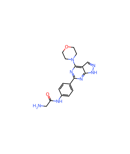 NCC(=O)Nc1ccc(-c2nc(N3CCOCC3)c3cn[nH]c3n2)cc1